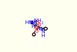 NNC(=O)[C@H](Cc1c[nH]cn1)NC(=O)[C@H](Cc1c[nH]c2ccccc12)NC(=O)OCc1ccccc1